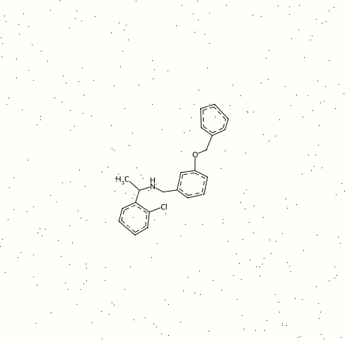 CC(NCc1cccc(OCc2ccccc2)c1)c1ccccc1Cl